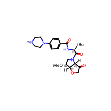 CO[C@@H]1CN(C(=O)[C@@H](NC(=O)c2ccc(N3CCN(C)CC3)cc2)C(C)(C)C)[C@@H]2C(=O)CO[C@@H]21